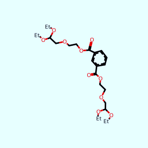 CCOC(COCCOC(=O)c1cccc(C(=O)OCCOCC(OCC)OCC)c1)OCC